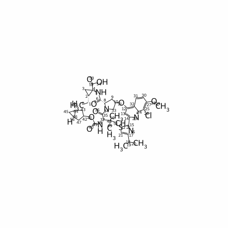 CC[C@@H]1C[C@]1(NC(=O)[C@@H]1C[C@@H](Oc2cc(-c3nc(C(C)C)cs3)nc3c(Cl)c(OC)ccc23)CN1C(=O)[C@@H](NC(=O)OC1C[C@@H]2C[C@@H]2C1)C(C)(C)C)C(=O)O